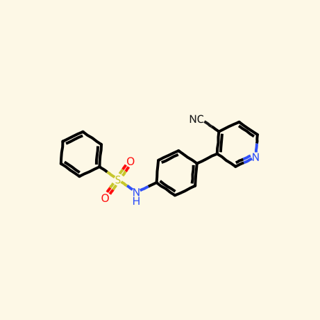 N#Cc1ccncc1-c1ccc(NS(=O)(=O)c2ccccc2)cc1